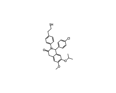 COc1cc2c(cc1OC(C)C)C(c1ccc(Cl)cc1)N(c1ccc(CCS)cc1)C(=O)C2